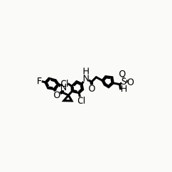 CC(c1ccc(CC(=O)Nc2cc(Cl)c(C3(c4nc5ccc(F)cc5o4)CC3)c(Cl)c2)cc1)[SH](=O)=O